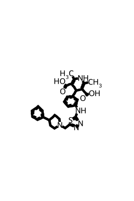 CC1=C(C(=O)O)C(c2cccc(Nc3nnc(CN4CCC(c5ccccc5)CC4)s3)c2)C(C(=O)O)=C(C)N1